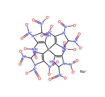 O=[N+]([O-])C1=C([B-](C2=C([N+](=O)[O-])N([N+](=O)[O-])C([N+](=O)[O-])N2)(C2=C([N+](=O)[O-])N([N+](=O)[O-])C([N+](=O)[O-])N2)C2=C([N+](=O)[O-])N([N+](=O)[O-])C([N+](=O)[O-])N2)NC([N+](=O)[O-])N1[N+](=O)[O-].[Na+]